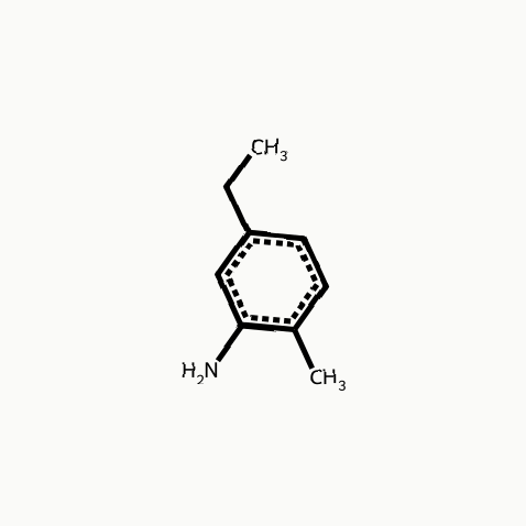 CCc1ccc(C)c(N)c1